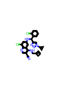 N#Cc1cnc2c(Cl)cc(NC(c3cn(C4CC4)nn3)c3ccccc3Cl)cc2c1NCC12CC(C1)C2